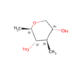 C[C@H]1[C@H](O)[C@@H](C)OC[C@@H]1O